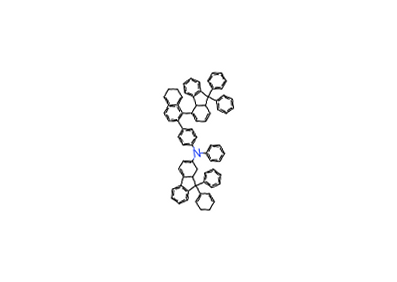 C1=CC2C(C(c3c(-c4ccc(N(C5=CC=C6c7ccccc7C(C7=CCCC=C7)(c7ccccc7)C6C5)c5ccccc5)cc4)ccc4c3=CCCC=4)=C1)c1ccccc1C2(c1ccccc1)c1ccccc1